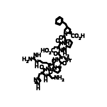 CC(C)C[C@H](NC(=O)[C@@H]1CCCN1C(=O)[C@H](CCCNC(=N)N)NC(=O)[C@H](Cc1c[nH]cn1)NC(=O)CN)C(=O)N[C@@H](CC(=O)O)C(=O)N[C@@H](CCCCN)C(=O)N1CC(Cc2ccccc2)C[C@H]1C(=O)O